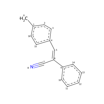 [CH2]c1ccc(C=C(C#N)c2ccccc2)cc1